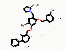 Cc1c(COc2cc(OCc3cccc(C#N)c3)c(CN3CCC[C@H]3C(=O)O)cc2[N+](=O)[O-])cccc1-c1ccccc1